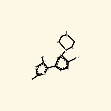 Cc1nc(-c2ccc(F)c(N3CCNCC3)c2)c(C)o1